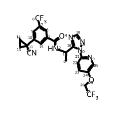 CC(NC(=O)c1cc(C(F)(F)F)cc(C2(C#N)CC2)c1)c1ncnn1-c1ccc(OCC(F)(F)F)cn1